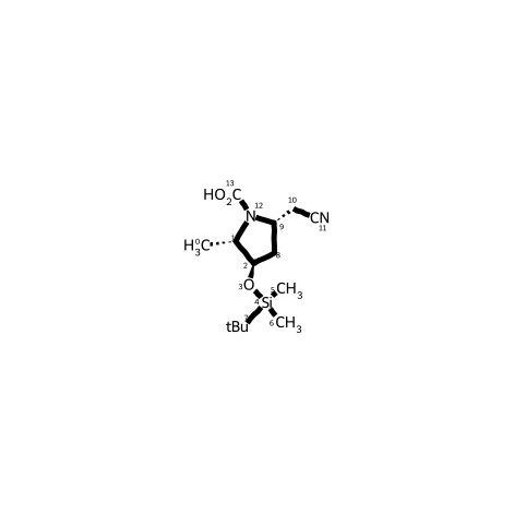 C[C@H]1[C@H](O[Si](C)(C)C(C)(C)C)C[C@@H](CC#N)N1C(=O)O